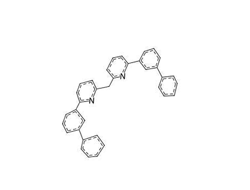 c1ccc(-c2cccc(-c3cccc(Cc4cccc(-c5cccc(-c6ccccc6)c5)n4)n3)c2)cc1